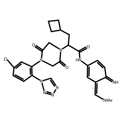 CN/C=C1/C=C(NC(=O)C(CC2CCC2)N2CC(=O)N(c3cc(Cl)ccc3-n3cnnn3)CC2=O)C=CC1=N